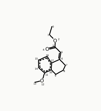 CCOC(=O)/C=C1/CCCc2c(OC)cccc21